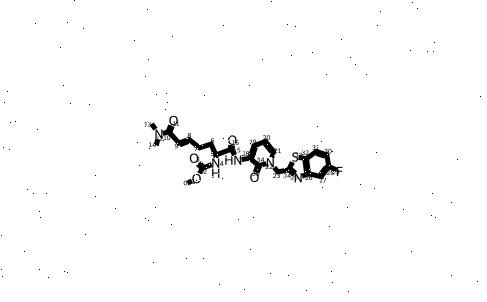 COC(=O)NC(CC/C=C/C(=O)N(C)C)C(=O)Nc1cccn(Cc2nc3cc(F)ccc3s2)c1=O